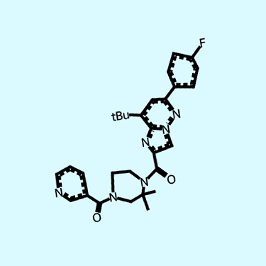 CC(C)(C)c1cc(-c2ccc(F)cc2)nn2cc(C(=O)N3CCN(C(=O)c4cccnc4)CC3(C)C)nc12